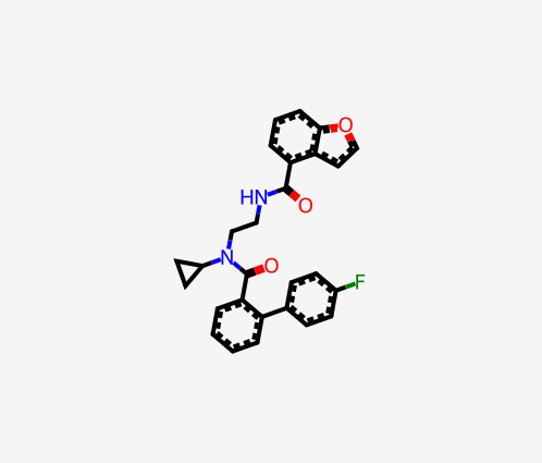 O=C(NCCN(C(=O)c1ccccc1-c1ccc(F)cc1)C1CC1)c1cccc2occc12